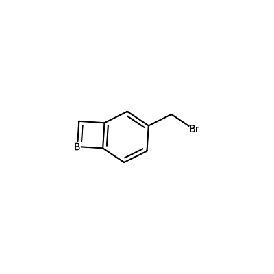 BrCc1ccc2c(c1)C=B2